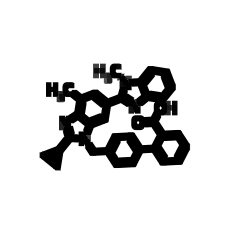 Cc1cc(-c2nc3ccccc3n2C)cc2c1nc(C1CC1)n2Cc1ccc(-c2ccccc2C(=O)O)cc1